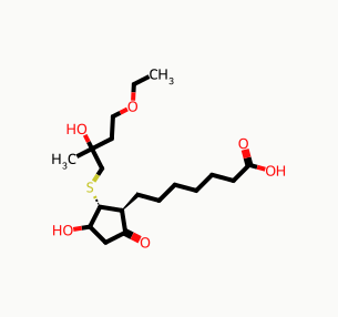 CCOCCC(C)(O)CS[C@H]1C(O)CC(=O)[C@@H]1CCCCCCC(=O)O